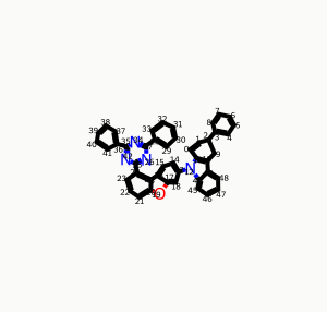 C1=CC(c2ccccc2)Cc2c1n(-c1ccc3c(c1)oc1cccc(-c4nc(-c5ccccc5)nc(-c5ccccc5)n4)c13)c1ccccc21